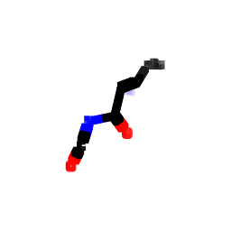 CCCC/C=C/C(=O)N=C=O